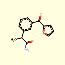 CC(C(N)=O)c1cccc(C(=O)c2ccco2)c1